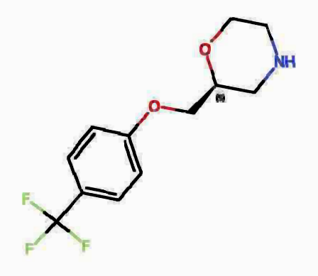 FC(F)(F)c1ccc(OC[C@@H]2CNCCO2)cc1